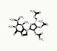 CC(=O)OC[C@H]1O[C@@H](n2cnc3c2N(C)C(N(C)C)N(C)C3=O)[C@H](OC(C)=O)[C@@H]1OC(C)=O